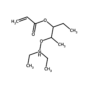 C=CC(=O)OC(CC)C(C)O[SiH](CC)CC